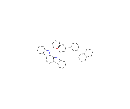 c1ccc(-n2c3ccccc3c3ccc4c5ccccc5n(-c5cccc(-c6cccc(-c7cccc8ccccc78)c6)c5)c4c32)cc1